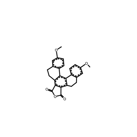 COc1ccc2c(c1)CCc1c3c(c4c(c1-2)-c1ccc(OC)cc1CC4)C(=O)OC3=O